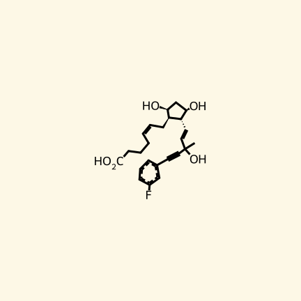 CC(O)(C#Cc1cccc(F)c1)/C=C/[C@@H]1[C@@H](C/C=C\CCCC(=O)O)[C@@H](O)C[C@H]1O